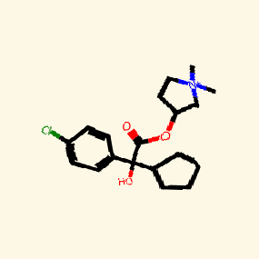 C[N+]1(C)CCC(OC(=O)C(O)(c2ccc(Cl)cc2)C2CCCC2)C1